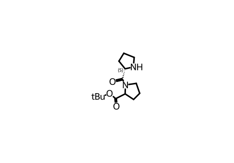 CC(C)(C)OC(=O)C1CCCN1C(=O)[C@@H]1CCCN1